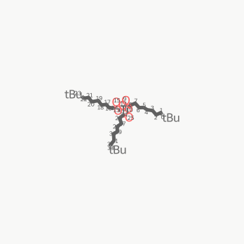 CC(C)(C)CCCCCCCC(=O)[O][Ti](=[O])([O]C(=O)CCCCCCCC(C)(C)C)[C](=O)CCCCCCCC(C)(C)C